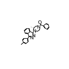 Cc1ccc(-c2nnc(N3CCN(C(=O)c4ccccc4)C[C@H]3C)c3ccccc23)cc1